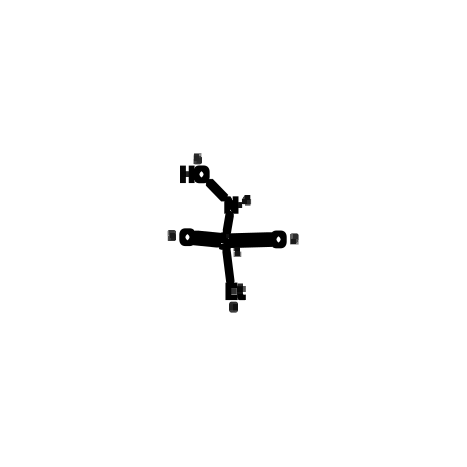 CCS(=O)(=O)[N]O